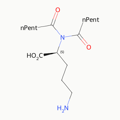 CCCCCC(=O)N(C(=O)CCCCC)[C@@H](CCCN)C(=O)O